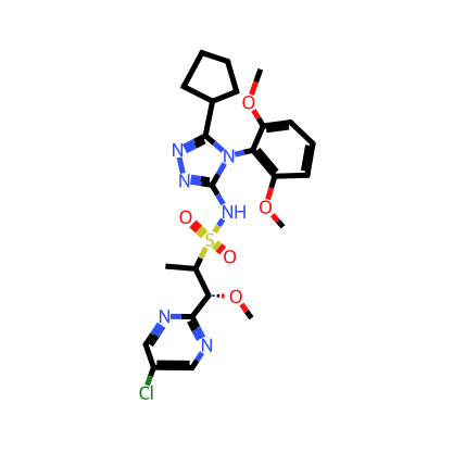 COc1cccc(OC)c1-n1c(NS(=O)(=O)C(C)[C@H](OC)c2ncc(Cl)cn2)nnc1C1CCCC1